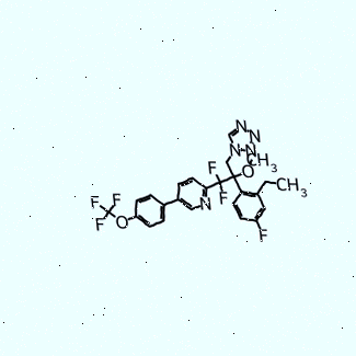 CCc1cc(F)ccc1C(Cn1cnnn1)(OC)C(F)(F)c1ccc(-c2ccc(OC(F)(F)F)cc2)cn1